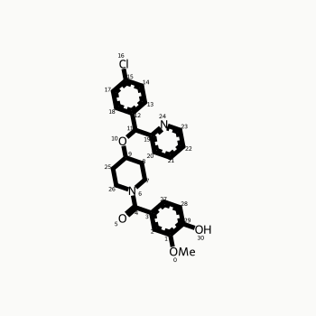 COc1cc(C(=O)N2CCC(OC(c3ccc(Cl)cc3)c3ccccn3)CC2)ccc1O